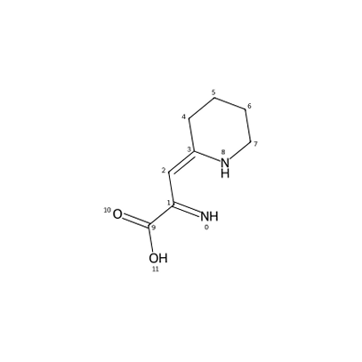 N=C(/C=C1/CCCCN1)C(=O)O